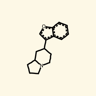 c1ccc2c(C3CCN4CCCC4C3)coc2c1